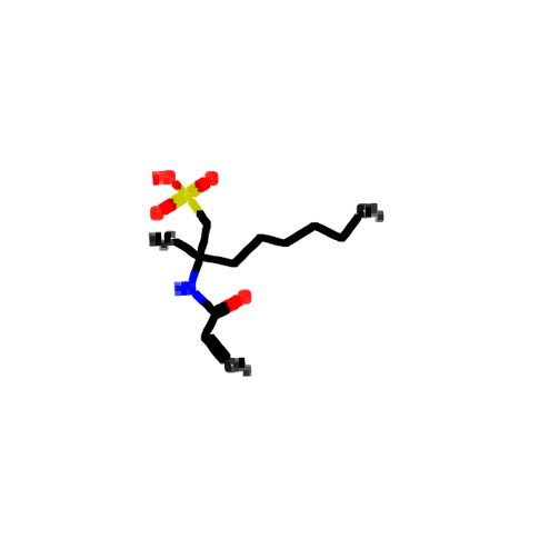 C=CC(=O)NC(C)(CCCCCC)CS(=O)(=O)O